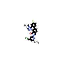 Cc1cc(CCl)cc(N2Cc3ccc(-c4ccc(F)cc4-c4nncn4C)cc3C2=O)n1